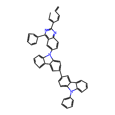 C=C/C=C\C(=C/C)c1nc(-c2ccccc2)c2cc(-n3c4ccccc4c4cc(-c5ccc6c(c5)c5ccccc5n6-c5ccccc5)ccc43)ccc2n1